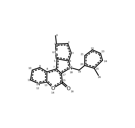 Cc1ccc2c(c1)c1c3cccnc3oc(=O)c1n2Cc1ccccc1C